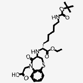 CCOC(=O)[C@@H](CCCCCCNC(=O)OC(C)(C)C)NC1CSc2ccccc2N(CC(=O)O)C1=O